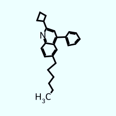 CCCCCCc1ccc2nc(C3CCC3)cc(-c3ccccc3)c2c1